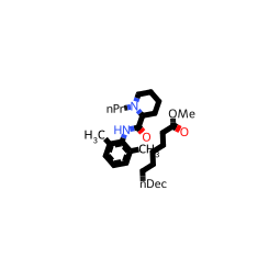 CCCCCCCCCCCCCCCC(=O)OC.CCCN1CCCCC1C(=O)Nc1c(C)cccc1C